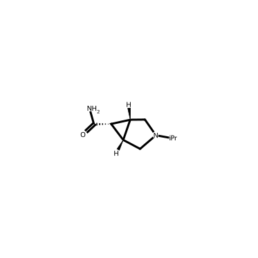 CC(C)N1C[C@@H]2[C@H](C1)[C@@H]2C(N)=O